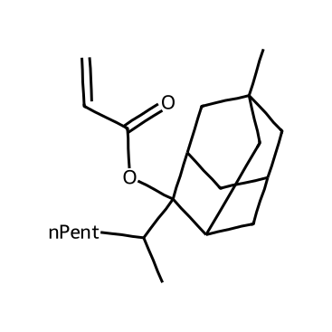 C=CC(=O)OC1(C(C)CCCCC)C2CC3CC1CC(C)(C3)C2